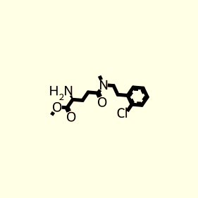 COC(=O)[C@@H](N)CCC(=O)N(C)CCc1ccccc1Cl